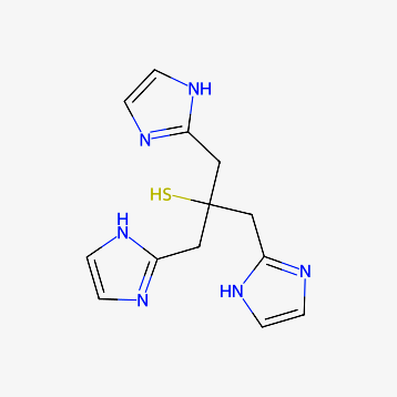 SC(Cc1ncc[nH]1)(Cc1ncc[nH]1)Cc1ncc[nH]1